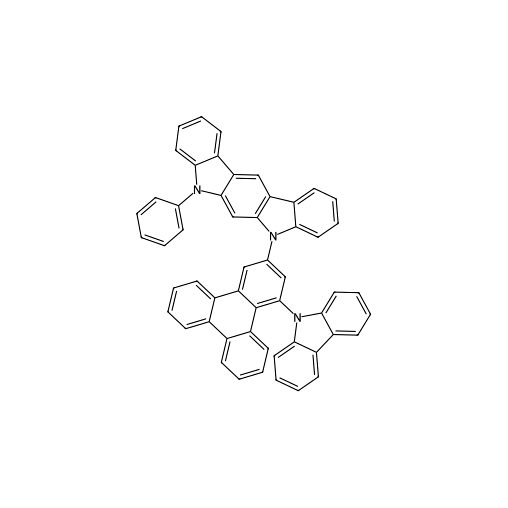 c1ccc(-n2c3ccccc3c3cc4c5ccccc5n(-c5cc(-n6c7ccccc7c7ccccc76)c6c7ccccc7c7ccccc7c6c5)c4cc32)cc1